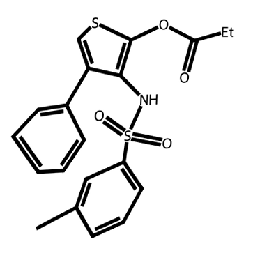 CCC(=O)Oc1scc(-c2ccccc2)c1NS(=O)(=O)c1cccc(C)c1